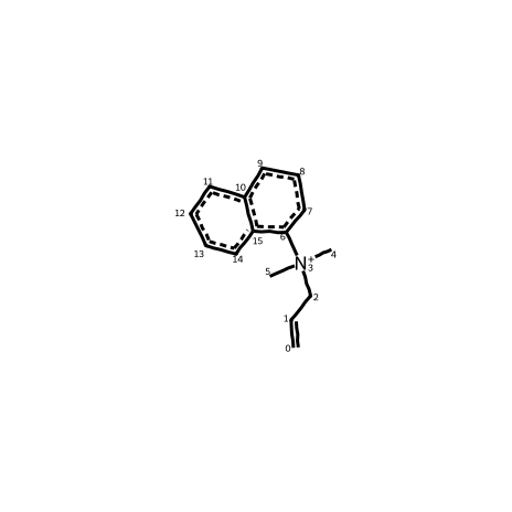 C=CC[N+](C)(C)c1cccc2ccccc12